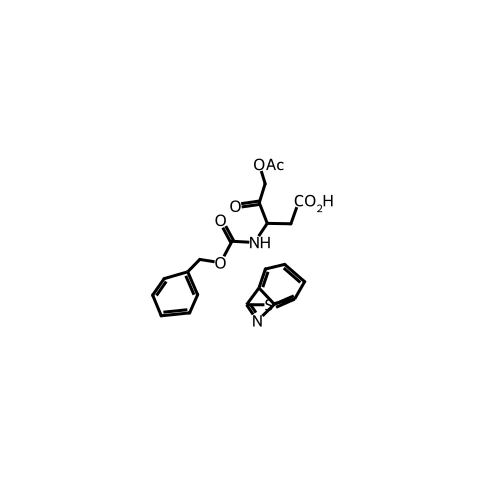 CC(=O)OCC(=O)C(CC(=O)O)NC(=O)OCc1ccccc1.c1cc2sc3nc2c3c1